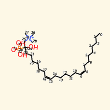 CCCCCCCC/C=C\CCCCC/C=C\CCCCCCC(O)(C[N+](C)(C)C)P(=O)(O)O